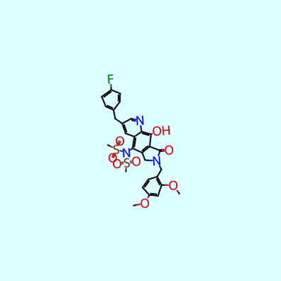 COc1ccc(CN2Cc3c(c(O)c4ncc(Cc5ccc(F)cc5)cc4c3N(S(C)(=O)=O)S(C)(=O)=O)C2=O)c(OC)c1